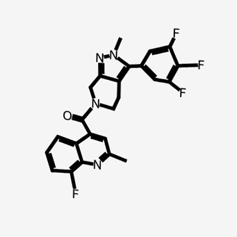 Cc1cc(C(=O)N2CCc3c(nn(C)c3-c3cc(F)c(F)c(F)c3)C2)c2cccc(F)c2n1